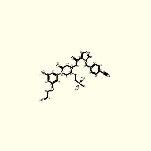 CS(=O)(=O)CC[C@H]1CN(c2cc(Br)cc(OCCF)c2)C(=O)CN1CC(=O)c1cncn1Cc1ccc(C#N)cc1